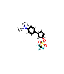 CN(C)c1ccc(C2CC=C(OS(=O)(=O)C(F)(F)F)C2)cc1